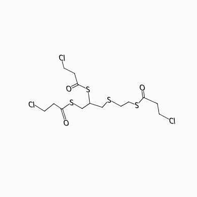 O=C(CCCl)SCCSCC(CSC(=O)CCCl)SC(=O)CCCl